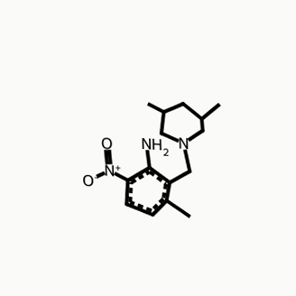 Cc1ccc([N+](=O)[O-])c(N)c1CN1CC(C)CC(C)C1